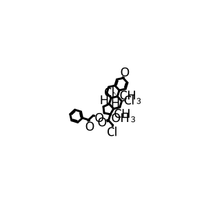 C[C@]12C=CC(=O)C=C1CC[C@H]1[C@@H]3C[C@@H](OCC(=O)c4ccccc4)[C@](O)(C(=O)CCl)[C@@]3(C)C[C@H](Cl)[C@@]12Cl